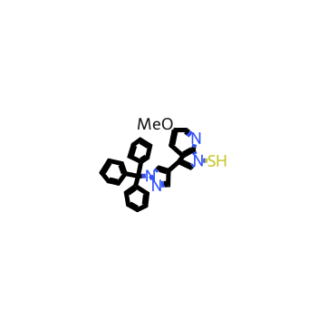 COc1cnc2c(c1)c(-c1cnn(C(c3ccccc3)(c3ccccc3)c3ccccc3)c1)cn2S